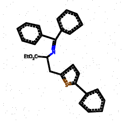 CCOC(=O)C(Cc1ccc(-c2ccccc2)s1)N=C(c1ccccc1)c1ccccc1